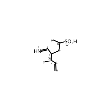 C=C[C@@H](C)C(C=N)CC(C)S(=O)(=O)O